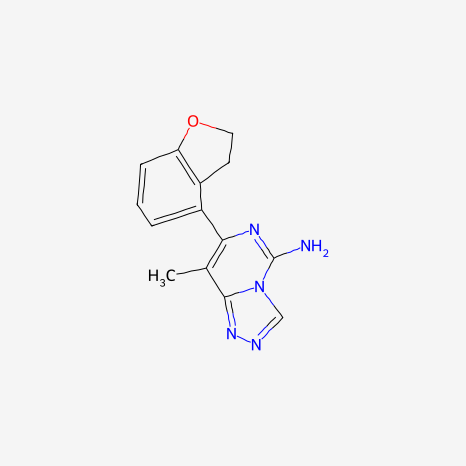 Cc1c(-c2cccc3c2CCO3)nc(N)n2cnnc12